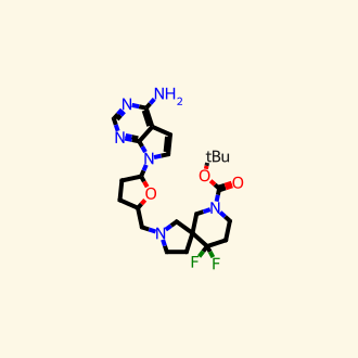 CC(C)(C)OC(=O)N1CCC(F)(F)C2(CCN(CC3CCC(n4ccc5c(N)ncnc54)O3)C2)C1